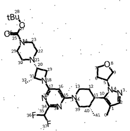 Cc1cnn([C@H]2CCOC2)c1[C@@H]1CCN(c2cc(N3C[C@@H](N4CCN(C(=O)OC(C)(C)C)CC4)[C@H]3C)nc(C(F)F)n2)C[C@H]1C